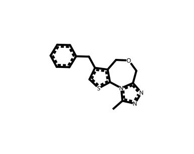 Cc1nnc2n1-c1scc(Cc3ccccc3)c1COC2